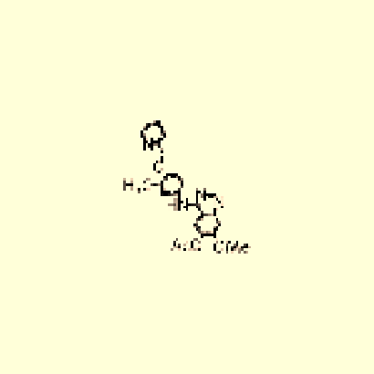 COc1cc2ncnc(Nc3ccc(OCc4ccccn4)c(C)c3)c2cc1OC(C)=O